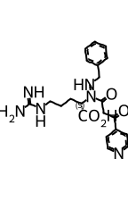 N=C(N)NCCC[C@@H](C(=O)O)N(NCc1ccccc1)C(=O)CC(=O)c1ccncc1